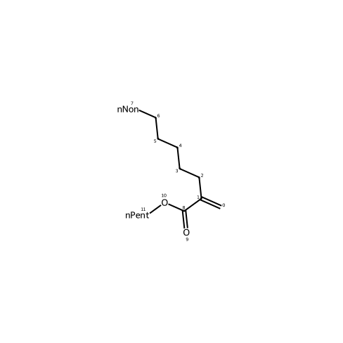 C=C(CCCCCCCCCCCCCC)C(=O)OCCCCC